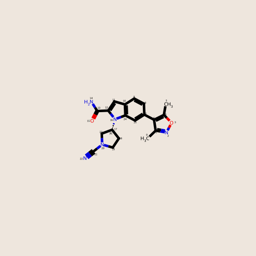 Cc1noc(C)c1-c1ccc2cc(C(N)=O)n([C@@H]3CCN(C#N)C3)c2c1